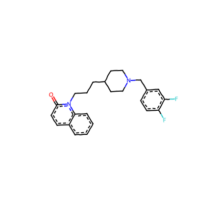 O=c1ccc2ccccc2n1CCCC1CCN(Cc2ccc(F)c(F)c2)CC1